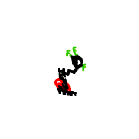 CCCO[SiH](CCCCc1cc(F)c(F)cc1F)OCCC